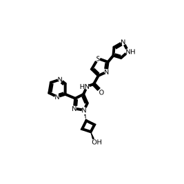 O=C(Nc1cn([C@H]2C[C@H](O)C2)nc1-c1cnccn1)c1csc(-c2cn[nH]c2)n1